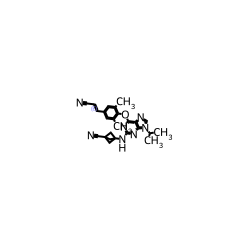 Cc1cc(/C=C/C#N)cc(C)c1Oc1nc(NC23CC(C#N)(C2)C3)nc2c1ncn2C(C)C